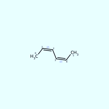 C/[C]=C\C=[C]/C